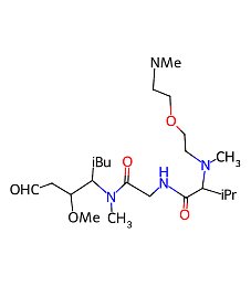 CCC(C)C(C(CC=O)OC)N(C)C(=O)CNC(=O)C(C(C)C)N(C)CCOCCNC